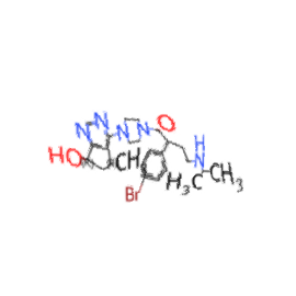 CC(C)NCCC(C(=O)N1CCN(c2ncnc3c2[C@H](C)C[C@H]3O)CC1)c1ccc(Br)cc1